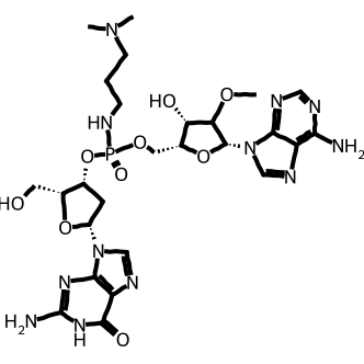 COC1[C@@H](O)[C@@H](COP(=O)(NCCCN(C)C)O[C@@H]2C[C@H](n3cnc4c(=O)[nH]c(N)nc43)O[C@@H]2CO)O[C@H]1n1cnc2c(N)ncnc21